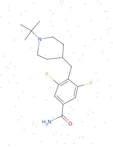 CC(C)(C)N1CCC(Cc2c(F)cc(C(N)=O)cc2F)CC1